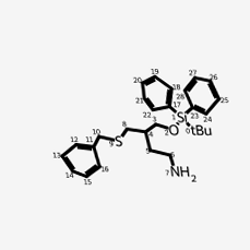 CC(C)(C)[Si](OCC(CCN)CSCc1ccccc1)(c1ccccc1)c1ccccc1